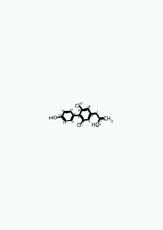 C=C(O)Cc1cc(Cl)c(-c2ccc(O)cc2)c(Cl)c1